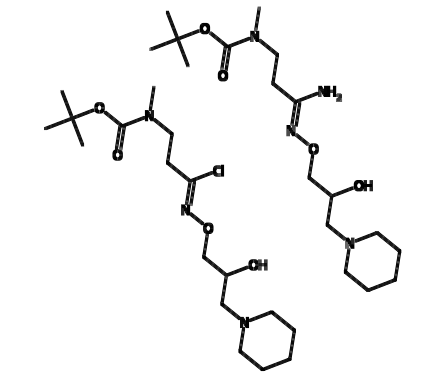 CN(CCC(Cl)=NOCC(O)CN1CCCCC1)C(=O)OC(C)(C)C.CN(CCC(N)=NOCC(O)CN1CCCCC1)C(=O)OC(C)(C)C